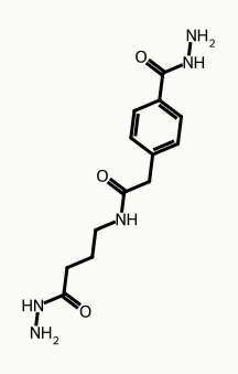 NNC(=O)CCCNC(=O)Cc1ccc(C(=O)NN)cc1